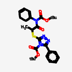 CC(Sc1nnc(-c2ccccc2)n1C(=O)OC(C)(C)C)C(=O)N(C(=O)OC(C)(C)C)C1=CC=CCC1